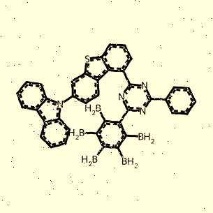 Bc1c(B)c(B)c(-c2nc(-c3ccccc3)nc(-c3cccc4sc5cc(-n6c7ccccc7c7ccccc76)ccc5c34)n2)c(B)c1B